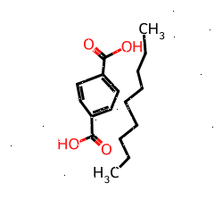 CCCCCCCCC.O=C(O)c1ccc(C(=O)O)cc1